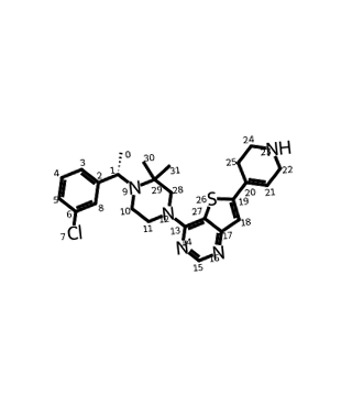 C[C@@H](c1cccc(Cl)c1)N1CCN(c2ncnc3cc(C4=CCNCC4)sc23)CC1(C)C